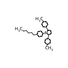 CCCCCCc1ccc(-n2c(-c3ccc(C)cc3)ccc2-c2ccc(C)cc2)cc1